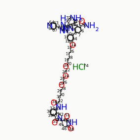 CCc1c(C(N)=O)ccc(-c2cccc(OCCCCCCOCCOCCOCCCCCC(=O)Nc3cccc4c3CN(C3CCC(=O)NC3=O)C4=O)c2)c1NC1(c2nnc(-c3ccncc3)[nH]2)CCNCC1.Cl